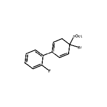 CCCCCCCCC1(Br)C=CC(c2ccccc2F)=CC1